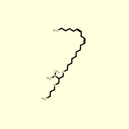 CCCCC/C=C\C/C=C\CCCCCCCCOCC(COCCCC)N(C)C